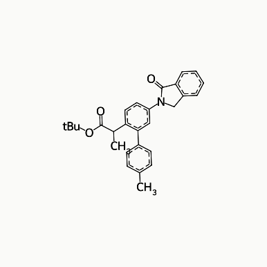 Cc1ccc(-c2cc(N3Cc4ccccc4C3=O)ccc2C(C)C(=O)OC(C)(C)C)cc1